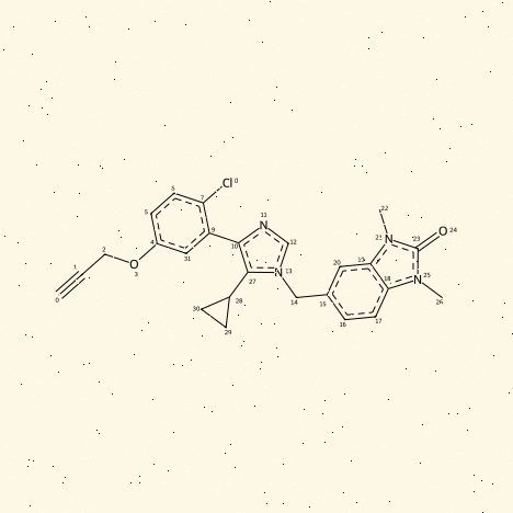 C#CCOc1ccc(Cl)c(-c2ncn(Cc3ccc4c(c3)n(C)c(=O)n4C)c2C2CC2)c1